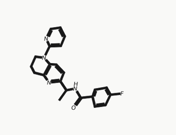 CC(NC(=O)c1ccc(F)cc1)c1ccc2c(n1)CCCN2c1ccccn1